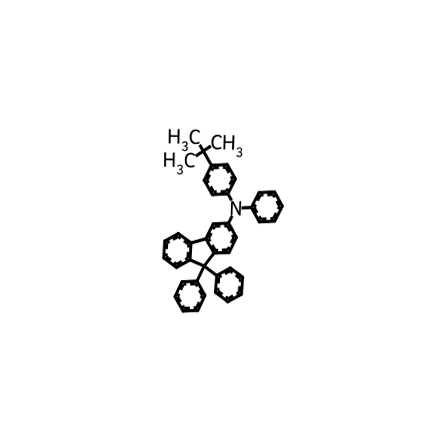 CC(C)(C)c1ccc(N(c2ccccc2)c2ccc3c(c2)-c2ccccc2C3(c2ccccc2)c2ccccc2)cc1